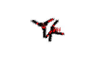 CCCCCCCCCCCC(c1ccc(CCCCCCCCC)cc1)C(OP(O)O)(c1ccc(CCCCCCCCC)cc1)c1ccc(CCCCCCCCC)cc1.CCCCCCCCCc1ccc(OP(Oc2ccc(CCCCCCCCC)cc2)Oc2ccc(CCCCCCCCC)cc2)cc1